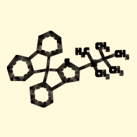 CC(C)(C)[Si](C)(C)c1cc2c(s1)C1(c3ccccc3-c3ccccc31)c1ccccc1-2